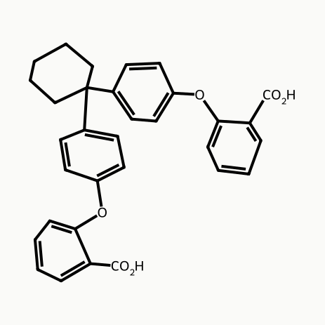 O=C(O)c1ccccc1Oc1ccc(C2(c3ccc(Oc4ccccc4C(=O)O)cc3)CCCCC2)cc1